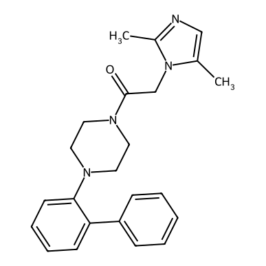 Cc1cnc(C)n1CC(=O)N1CCN(c2ccccc2-c2ccccc2)CC1